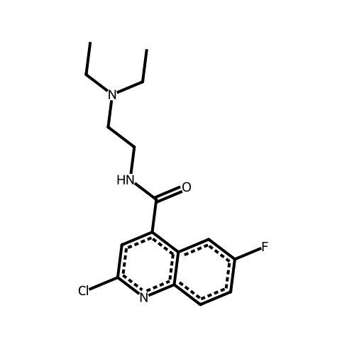 CCN(CC)CCNC(=O)c1cc(Cl)nc2ccc(F)cc12